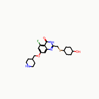 O=c1[nH]c(CSC2CCC(O)CC2)nc2cc(OCC3CCNCC3)cc(F)c12